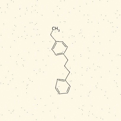 CCc1ccc(CCCc2cc[c]cc2)cc1